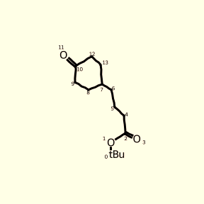 CC(C)(C)OC(=O)CCCC1CCC(=O)CC1